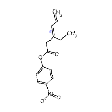 C=C/C=C(\CC)CC(=O)Oc1ccc([N+](=O)[O-])cc1